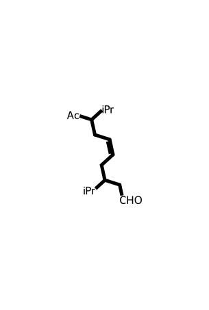 CC(=O)C(C/C=C\CC(CC=O)C(C)C)C(C)C